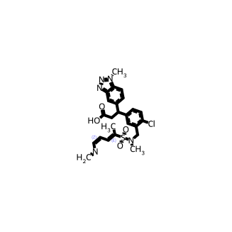 C=N/C=C\C=C(/C)S(=O)(=O)N(C)Cc1cc(C(CC(=O)O)c2ccc3c(c2)nnn3C)ccc1Cl